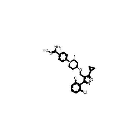 C[C@@H]1C[C@H](OCc2c(-c3c(Cl)cccc3Cl)noc2C2CC2)CCN1c1ccc(/C(N)=N/O)cc1